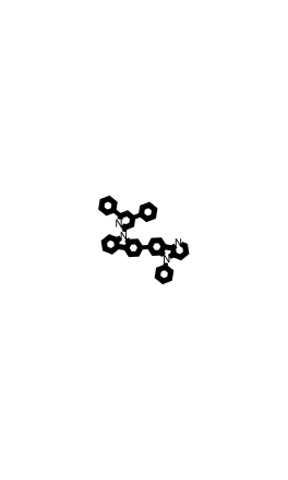 c1ccc(-c2cc(-c3ccccc3)nc(-n3c4ccccc4c4ccc(-c5ccc6c7ncccc7n(-c7ccccc7)c6c5)cc43)c2)cc1